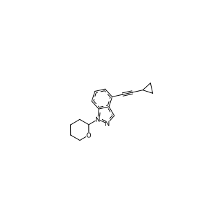 C(#CC1CC1)c1cccc2c1cnn2C1CCCCO1